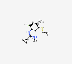 CCN/C(=N\C1CC(SCC(F)(F)F)=C(C)C=C1F)C1CC1